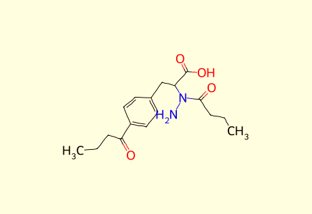 CCCC(=O)c1ccc(CC(C(=O)O)N(N)C(=O)CCC)cc1